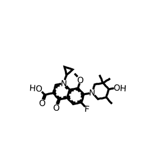 COc1c(N2CC(C)C(O)C(C)(C)C2)c(F)cc2c(=O)c(C(=O)O)cn(C3CC3)c12